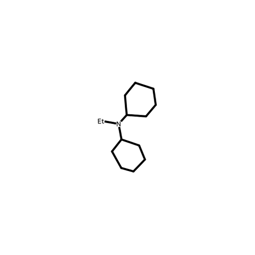 CCN(C1CCCCC1)C1CCCCC1